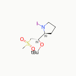 CC(C)(C)O[C@H](CS(C)(=O)=O)[C@@H]1CCCN1I